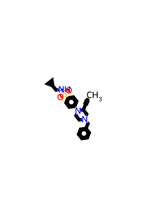 CC#CC1CN(Cc2ccccc2)CCN1c1ccc(S(=O)(=O)NCC2CC2)cc1